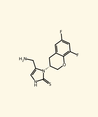 NCc1c[nH]c(=S)n1[C@H]1COc2c(F)cc(F)cc2C1